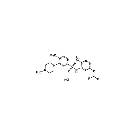 COc1ccc(S(=O)(=O)Nc2cc(OC(F)F)ccc2C)cc1N1CCN(C)CC1.Cl